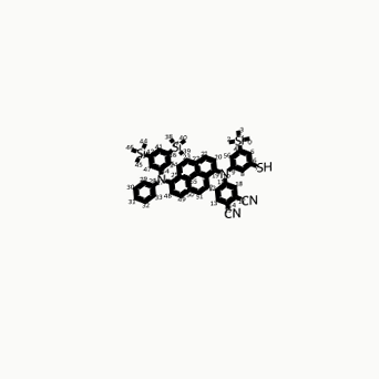 C[Si](C)(C)c1cc(S)cc(N(c2ccc(C#N)c(C#N)c2)c2ccc3ccc4c(N(c5ccccc5)c5cc([Si](C)(C)C)cc([Si](C)(C)C)c5)ccc5ccc2c3c54)c1